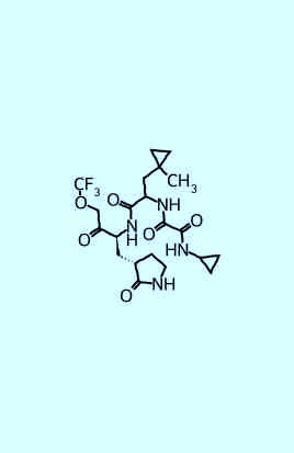 CC1(CC(NC(=O)C(=O)NC2CC2)C(=O)N[C@@H](C[C@@H]2CCNC2=O)C(=O)COC(F)(F)F)CC1